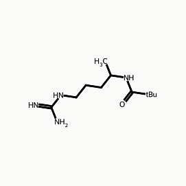 CC(CCCNC(=N)N)NC(=O)C(C)(C)C